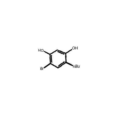 CCCCc1cc(Br)c(O)cc1O